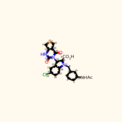 CC(=O)Nc1cccc(Cn2c(C(=O)O)c(-n3c(=O)[nH]c4cscc4c3=O)c3cc(Cl)ccc32)c1